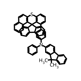 CC1(C)c2ccccc2-c2ccc(N(c3ccccc3)c3ccc(-c4cccc5c4C4(c6ccccc6-c6ccccc64)c4c(ccc6ccccc46)S5)cc3)cc21